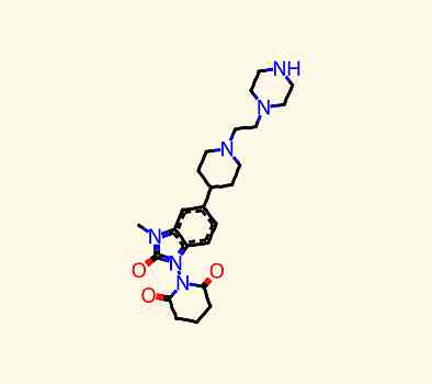 Cn1c(=O)n(N2C(=O)CCCC2=O)c2ccc(C3CCN(CCN4CCNCC4)CC3)cc21